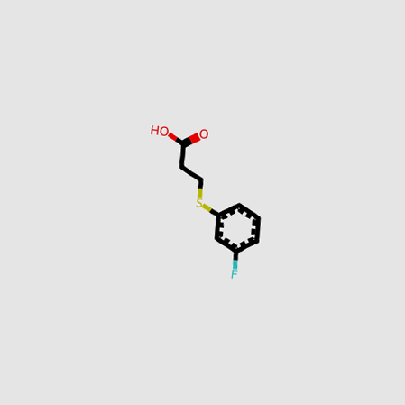 O=C(O)CCSc1cccc(F)c1